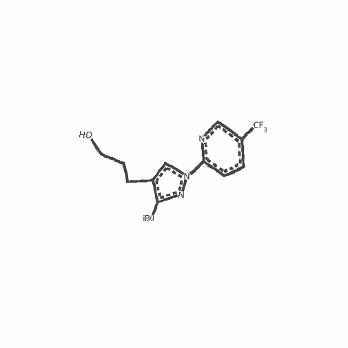 CCC(C)c1nn(-c2ccc(C(F)(F)F)cn2)cc1CCCO